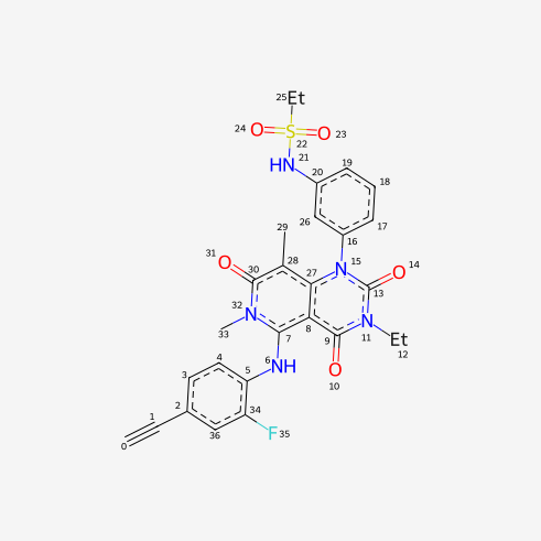 C#Cc1ccc(Nc2c3c(=O)n(CC)c(=O)n(-c4cccc(NS(=O)(=O)CC)c4)c3c(C)c(=O)n2C)c(F)c1